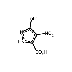 CCCc1n[nH]c(C(=O)O)c1[N+](=O)[O-]